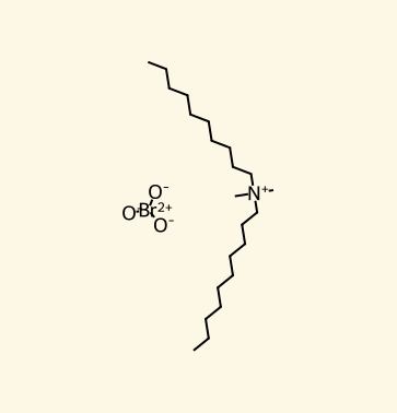 CCCCCCCCCC[N+](C)(C)CCCCCCCCCC.[O-][Br+2]([O-])[O-]